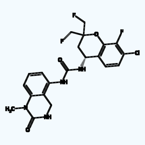 CN1C(=O)NCc2c(NC(=O)N[C@@H]3CC(CF)(CF)Oc4c3ccc(Cl)c4F)cccc21